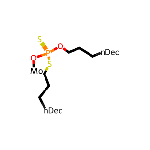 CCCCCCCCCCCCCOP(=S)([O][Mo])SCCCCCCCCCCCCC